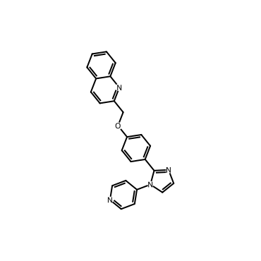 c1ccc2nc(COc3ccc(-c4nccn4-c4ccncc4)cc3)ccc2c1